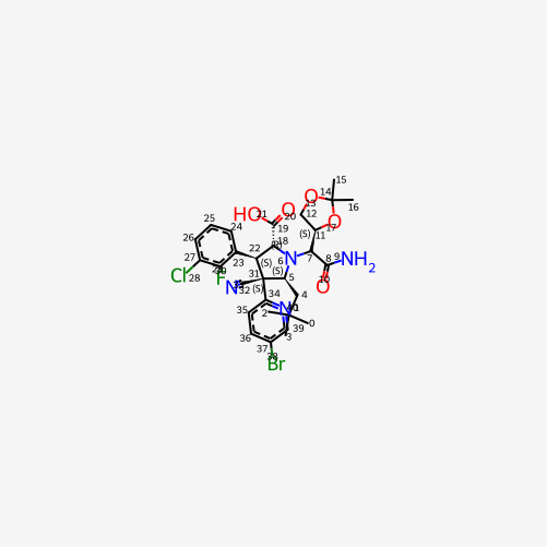 CC(C)(C)C[C@@H]1N(C(C(N)=O)[C@H]2COC(C)(C)O2)[C@@H](C(=O)O)[C@H](c2cccc(Cl)c2F)[C@@]1(C#N)c1ccc(Br)cn1